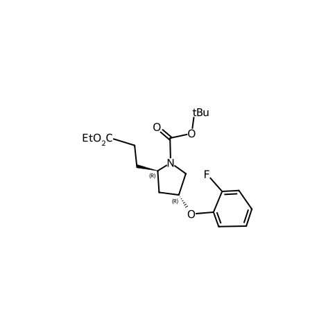 CCOC(=O)CC[C@@H]1C[C@@H](Oc2ccccc2F)CN1C(=O)OC(C)(C)C